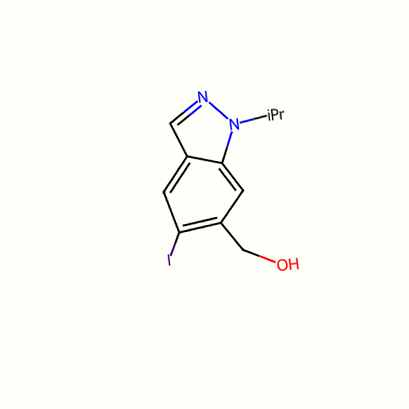 CC(C)n1ncc2cc(I)c(CO)cc21